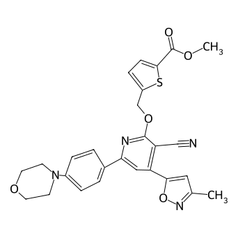 COC(=O)c1ccc(COc2nc(-c3ccc(N4CCOCC4)cc3)cc(-c3cc(C)no3)c2C#N)s1